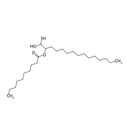 CCCCCCCCCCCCCC(OC(=O)CCCCCCCCC)C(O)S